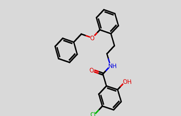 O=C(NCCc1ccccc1OCc1ccccc1)c1cc(Cl)ccc1O